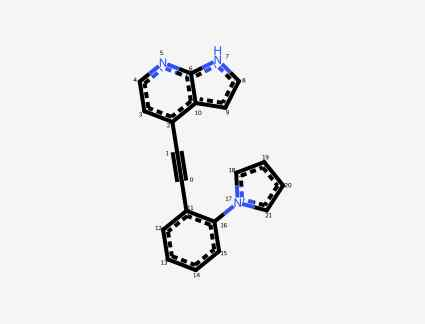 C(#Cc1ccnc2[nH]ccc12)c1ccccc1-n1cccc1